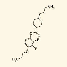 CCCC[C@H]1CC[C@H](C(=O)Oc2ccc(OCCC)c(F)c2F)CC1